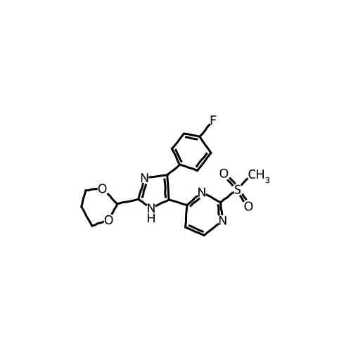 CS(=O)(=O)c1nccc(-c2[nH]c(C3OCCCO3)nc2-c2ccc(F)cc2)n1